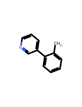 [CH2]c1ccccc1-c1cccnc1